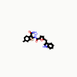 CC1CCc2c(sc(NC(=O)c3ccc(Cc4c[nH]c5ccccc45)o3)c2C(N)=O)C1